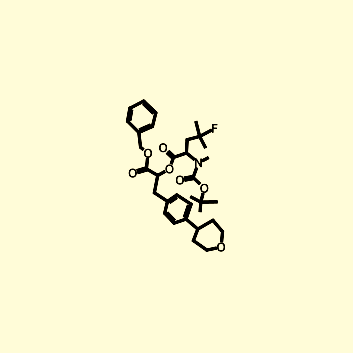 CN(C(=O)OC(C)(C)C)C(CC(C)(C)F)C(=O)OC(Cc1ccc(C2CCOCC2)cc1)C(=O)OCc1ccccc1